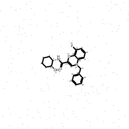 O=C(N[C@H]1CCCC[C@@H]1O)C1=CN(Cc2ccccc2)c2cccc(F)c2O1